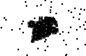 CC1(C)c2cccc3c4c(cc(c23)C1(C)C)B(c1c(F)cc(F)cc1F)c1ccc2ccc3c5c2c1N4C(=O)N5c1c(ccc2c1c1ccccc1n2-c1ccccc1)B3c1c(F)cc(F)cc1F